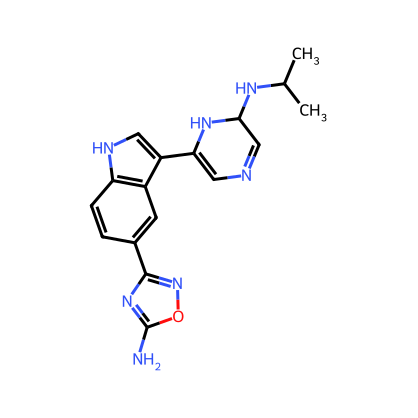 CC(C)NC1C=NC=C(c2c[nH]c3ccc(-c4noc(N)n4)cc23)N1